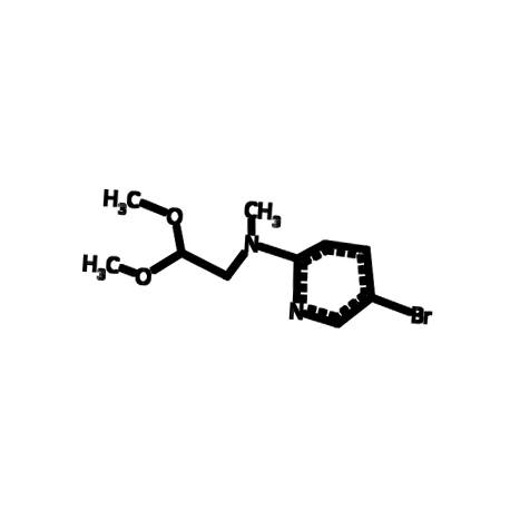 COC(CN(C)c1ccc(Br)cn1)OC